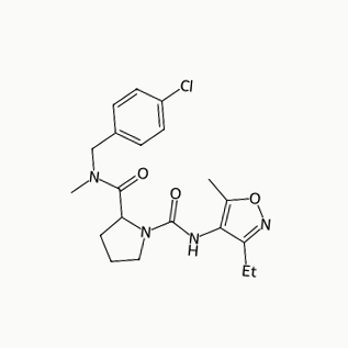 CCc1noc(C)c1NC(=O)N1CCCC1C(=O)N(C)Cc1ccc(Cl)cc1